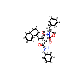 O=C(C[C@@H](Cc1cccc2ccccc12)C(=O)N1C(=O)OC[C@@H]1Cc1ccccc1)NCc1ccccc1